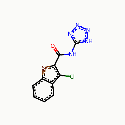 O=C(Nc1nnn[nH]1)c1sc2ccccc2c1Cl